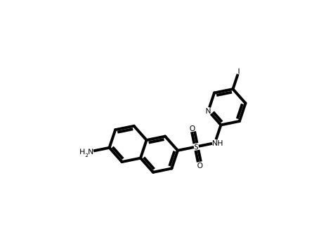 Nc1ccc2cc(S(=O)(=O)Nc3ccc(I)cn3)ccc2c1